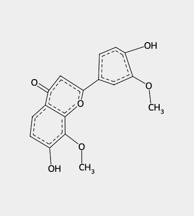 COc1cc(-c2cc(=O)c3ccc(O)c(OC)c3o2)ccc1O